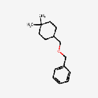 CC1(C)CCC(COCc2ccccc2)CC1